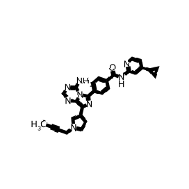 CC#CCN1CCC(c2nc(-c3ccc(C(=O)Nc4cc(C5CC5)ccn4)cc3)n3c(N)ncnc23)C1